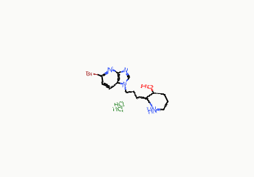 Cl.Cl.OC1CCCNC1CCCn1cnc2nc(Br)ccc21